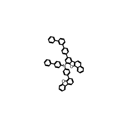 c1ccc(-c2ccc(N(c3ccc(-c4cccc5c4oc4ccccc45)cc3)c3cc(-c4ccc(-c5cccc(-c6ccccc6)c5)cc4)cc4c3oc3c5ccccc5ccc43)cc2)cc1